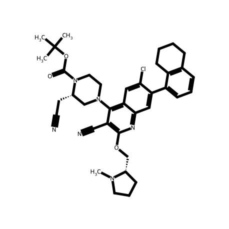 CN1CCC[C@H]1COc1nc2cc(-c3cccc4c3CCCC4)c(Cl)cc2c(N2CCN(C(=O)OC(C)(C)C)[C@@H](CC#N)C2)c1C#N